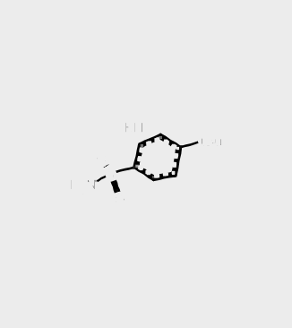 CC(C)(C)c1ccc(S(N)(=O)=O)cc1.[KH]